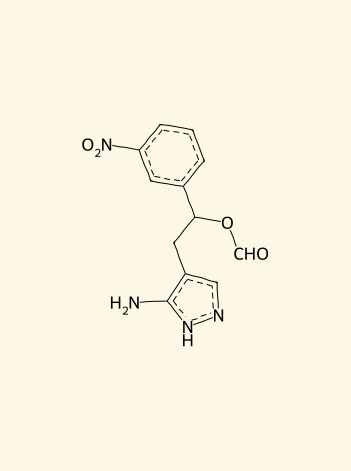 Nc1[nH]ncc1CC(OC=O)c1cccc([N+](=O)[O-])c1